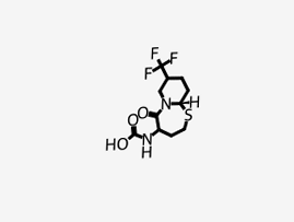 O=C(O)NC1CCS[C@H]2CCC(C(F)(F)F)CN2C1=O